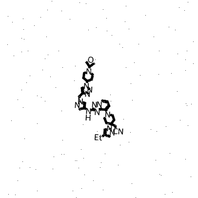 CCc1cnn(C2(CC#N)CCN(c3cccn4nc(Nc5cnn(Cc6cn(C7CCN(C8COC8)CC7)nn6)c5)nc34)CC2)c1